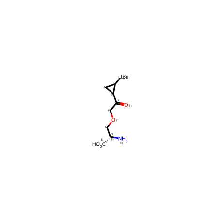 CC(C)(C)C1CC1C(=O)COC[C@H](N)C(=O)O